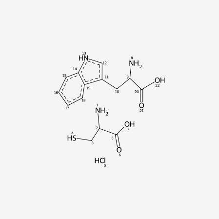 Cl.NC(CS)C(=O)O.NC(Cc1c[nH]c2ccccc12)C(=O)O